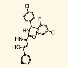 N=C(/C=C(\O)c1ccccc1)C(=O)N[C@@H](c1ccc(Cl)cc1)c1ncc(Cl)cc1F